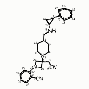 N#CCC1(N2CCC(CN[C@@H]3C[C@H]3c3ccccc3)CC2)CN(c2ccccc2C#N)C1